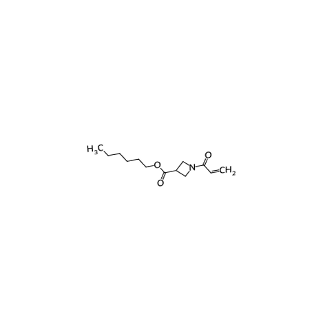 C=CC(=O)N1CC(C(=O)OCCCCCC)C1